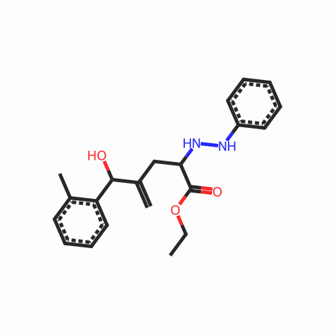 C=C(CC(NNc1ccccc1)C(=O)OCC)C(O)c1ccccc1C